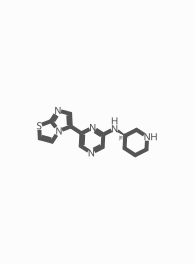 c1cn2c(-c3cncc(N[C@@H]4CCCNC4)n3)cnc2s1